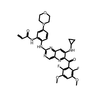 C=CC(=O)Nc1cc(N2CCOCC2)ccc1Nc1ncc2nc(C(=O)c3c(F)c(OC)cc(OC)c3F)c(NC3CC3)cc2n1